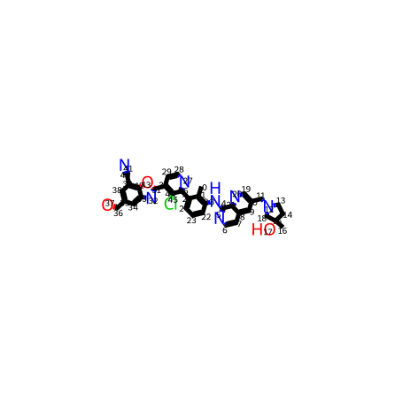 Cc1c(Nc2nccc3cc(CN4CCC(C)(O)C4)cnc23)cccc1-c1nccc(-c2nc3cc(C=O)cc(C#N)c3o2)c1Cl